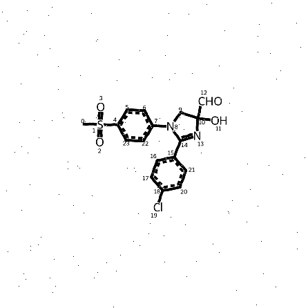 CS(=O)(=O)c1ccc(N2CC(O)(C=O)N=C2c2ccc(Cl)cc2)cc1